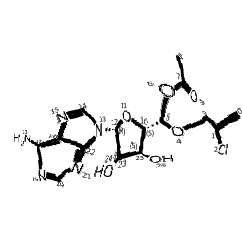 C=C(Cl)COC(OC(C)=O)[C@H]1O[C@@H](n2cnc3c(N)ncnc32)[C@H](O)[C@@H]1O